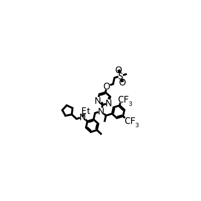 CCN(CC1CCCC1)c1ccc(C)cc1CN(c1ncc(OCCS(C)(=O)=O)cn1)C(C)c1cc(C(F)(F)F)cc(C(F)(F)F)c1